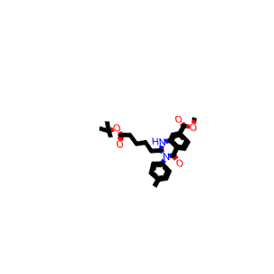 COC(=O)c1ccc2c(c1)NC(CCCCC(=O)OC(C)(C)C)N(c1ccc(C)cc1)C2=O